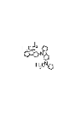 CN(c1ccccc1)c1ccc2c3ccccc3n(-c3ccc4c(c3)C(C)(C)c3ccccc3-4)c2c1